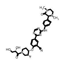 CN1CCN(C)C(c2ccc(Nc3ncnc(-c4ccc(O[C@H]5CCN(C(=O)[C@@H](O)CO)C[C@H]5F)c(C#N)c4)n3)cc2)C1=O